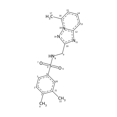 Cc1ccc(S(=O)(=O)NCc2nc3cccc(C)n3n2)cc1C